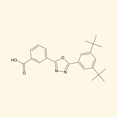 CC(C)(C)c1cc(-c2nnc(-c3cccc(C(=O)O)c3)o2)cc(C(C)(C)C)c1